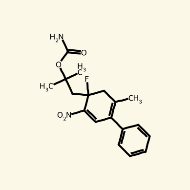 CC1=C(c2ccccc2)C=C([N+](=O)[O-])C(F)(CC(C)(C)OC(N)=O)C1